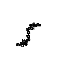 CC(C)(C)OC(=O)N[C@H]1CCC[C@H]1C(=O)OCC(=O)c1ccc(-c2ccc(C(=O)COC(=O)[C@@H]3CCC[C@@H]3NC(=O)OC(C)(C)C)cc2)cc1